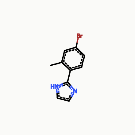 Cc1cc(Br)ccc1-c1ncc[nH]1